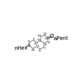 CCCCCC[C@@H]1CCC2C(CCC3C[C@H](OCCCCC)CCC32)C1